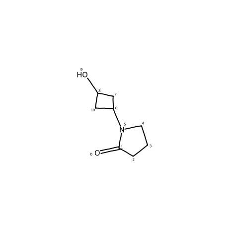 O=C1CCCN1C1CC(O)C1